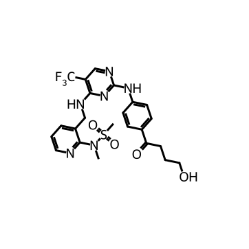 CN(c1ncccc1CNc1nc(Nc2ccc(C(=O)CCCO)cc2)ncc1C(F)(F)F)S(C)(=O)=O